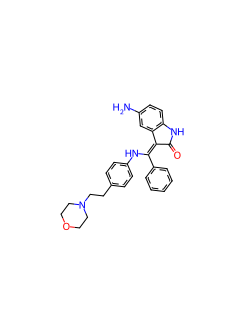 Nc1ccc2c(c1)C(=C(Nc1ccc(CCN3CCOCC3)cc1)c1ccccc1)C(=O)N2